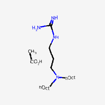 CC(=O)O.CCCCCCCCN(CCCCCCCC)CCCNC(=N)N